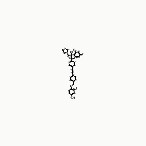 N#Cc1ccc(OCc2ccc(C#Cc3ccc(C(F)(F)C(O)(Cn4cnnn4)c4ccc(F)cc4F)nc3)cc2)c(F)c1